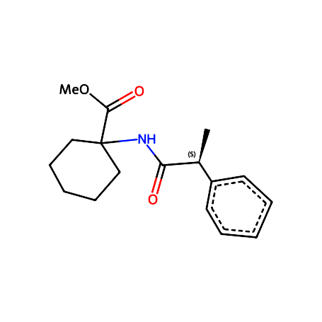 COC(=O)C1(NC(=O)[C@@H](C)c2ccccc2)CCCCC1